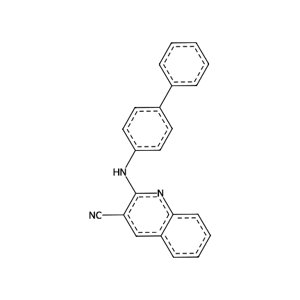 N#Cc1cc2ccccc2nc1Nc1ccc(-c2ccccc2)cc1